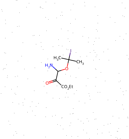 CCOC(=O)C(=O)C(N)OC(C)(C)I